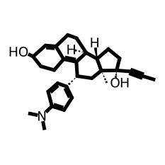 CC#C[C@]1(O)CC[C@H]2[C@@H]3CCC4=CC(O)CCC4=C3[C@@H](c3ccc(N(C)C)cc3)C[C@@]21C